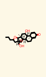 CCCC1C[C@@H]2C[C@H]3[C@@H]4CCC5=CC(=O)C=C[C@]5(C)[C@H]4[C@@H](O)C[C@]3(C)[C@]2(C(=O)CO)O1